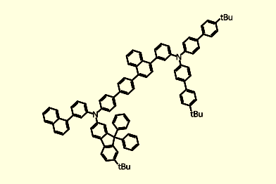 CC(C)(C)c1ccc(-c2ccc(N(c3ccc(-c4ccc(C(C)(C)C)cc4)cc3)c3cccc(-c4ccc(-c5ccc(-c6ccc(N(c7cccc(-c8cccc9ccccc89)c7)c7ccc8c(c7)C(c7ccccc7)(c7ccccc7)c7cc(C(C)(C)C)ccc7-8)cc6)cc5)c5ccccc45)c3)cc2)cc1